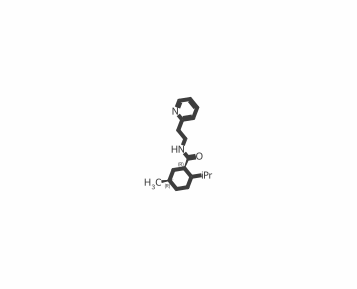 CC(C)C1CC[C@@H](C)C[C@H]1C(=O)NCCc1ccccn1